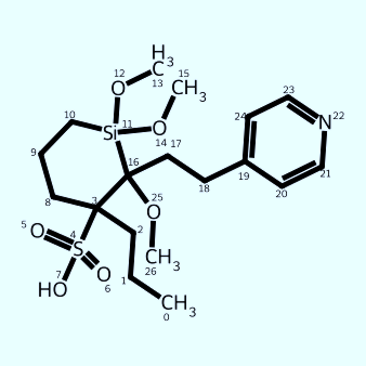 CCCC1(S(=O)(=O)O)CCC[Si](OC)(OC)C1(CCc1ccncc1)OC